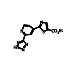 CCOC(=O)c1cnc(-c2ccnc(-c3nn[nH]n3)c2)s1